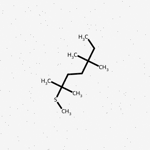 CCC(C)(C)CCC(C)(C)SC